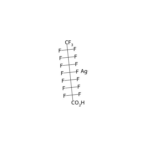 O=C(O)C(F)(F)C(F)(F)C(F)(F)C(F)(F)C(F)(F)C(F)(F)C(F)(F)C(F)(F)F.[Ag]